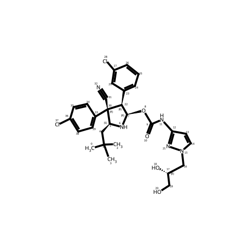 CC(C)(C)C[C@@H]1N[C@H](OC(=O)Nc2ccn(C[C@@H](O)CO)n2)[C@H](c2cccc(Cl)c2)[C@@]1(C#N)c1ccc(Cl)cc1